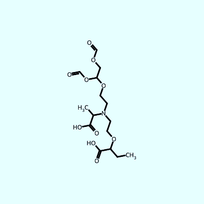 CCC(OCCN(CCOC(COC=O)OC=O)C(C)C(=O)O)C(=O)O